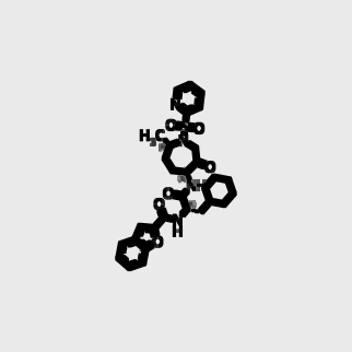 C[C@@H]1CC[C@H](NC(=O)[C@H](CC2CCCCC2)NC(=O)c2cc3ccccc3o2)C(=O)CN1S(=O)(=O)c1ccccn1